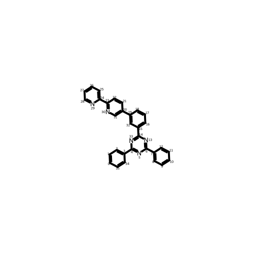 c1ccc(-c2nc(-c3ccccc3)nc(-c3cccc(-c4ccc(-c5ccccn5)nc4)c3)n2)cc1